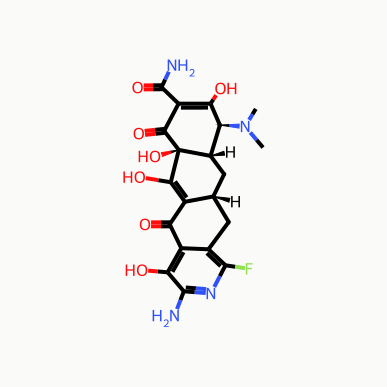 CN(C)[C@@H]1C(O)=C(C(N)=O)C(=O)[C@@]2(O)C(O)=C3C(=O)c4c(O)c(N)nc(F)c4C[C@H]3C[C@@H]12